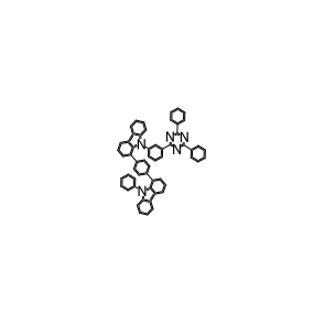 c1ccc(-c2nc(-c3ccccc3)nc(-c3cccc(-n4c5ccccc5c5cccc(-c6ccc(-c7cccc8c9ccccc9n(-c9ccccc9)c78)cc6)c54)c3)n2)cc1